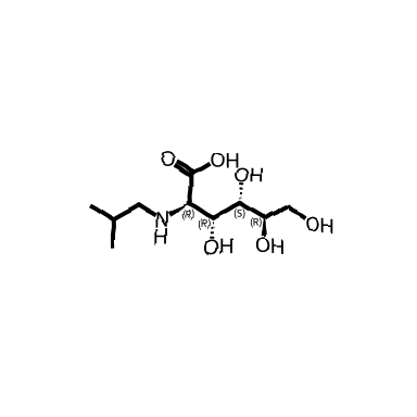 CC(C)CN[C@@H](C(=O)O)[C@@H](O)[C@H](O)[C@H](O)CO